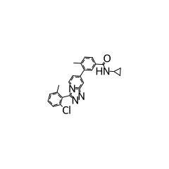 Cc1ccc(C(=O)NC2CC2)cc1-c1ccn2c(-c3c(C)cccc3Cl)nnc2c1